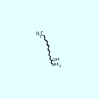 CCCCCCCCCCCC(O)CN